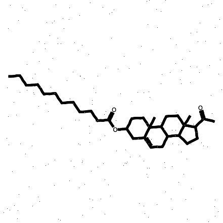 CCCCCCCCCCCC(=O)OC1CCC2(C)C(=CCC3C2CCC2(C)C(C(C)=O)CCC32)C1